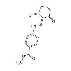 COC(=O)c1ccc(NC=C2C(=O)CCCC2=O)cc1